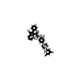 Cc1cc(C)nc(N2CCN(c3ccc(NC(=O)C(=O)c4c(-c5ccccc5)c(C)c5ccccn45)cc3)CC2)c1